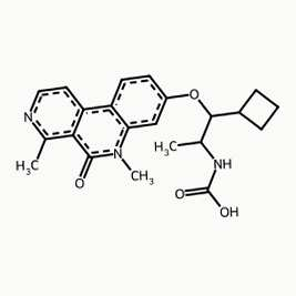 Cc1nccc2c1c(=O)n(C)c1cc(OC(C3CCC3)C(C)NC(=O)O)ccc21